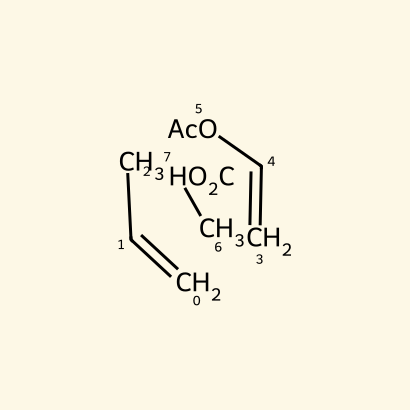 C=CC.C=COC(C)=O.CC(=O)O